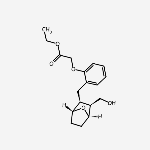 CCOC(=O)COc1ccccc1C[C@H]1[C@@H](CO)[C@H]2CC[C@H]1O2